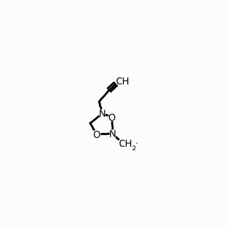 C#CCN1CON([CH2])O1